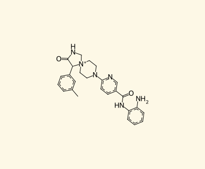 Cc1cccc(C2C(=O)NC[N+]23CCN(c2ccc(C(=O)Nc4ccccc4N)cn2)CC3)c1